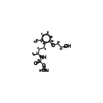 C[C@@H](CCc1c(F)cccc1OCCO)NC(=O)OC(C)(C)C